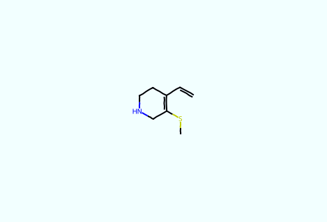 C=CC1=C(SC)CNCC1